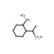 CC(C(=O)O)C1CCCCC1N.Cl